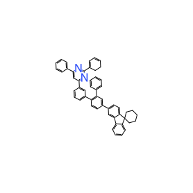 C1=CCCC(c2nc(-c3ccccc3)cc(-c3cccc(-c4ccc(-c5ccc6c(c5)-c5ccccc5C65CCCCC5)cc4-c4ccccc4)c3)n2)=C1